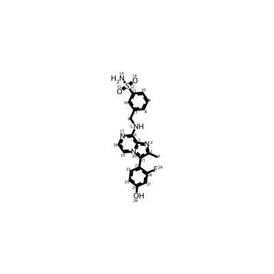 Cc1nc2c(NCc3cccc(S(N)(=O)=O)c3)nccn2c1-c1ccc(O)cc1F